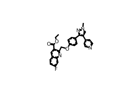 CCOC(=O)c1cc2ccc(F)cc2nc1COc1ccc(-c2nn(C)cc2-c2ccncc2)cc1